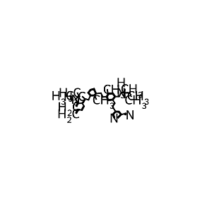 C=C/C=C\C(C(=C)N(CC)CC)=C(\C)Cc1cccc(CCc2cc(CCc3cncc(C#N)c3)c(CNC(C)(CC)CC)cc2C)c1C